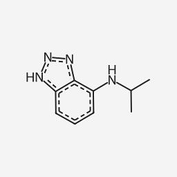 CC(C)Nc1cccc2[nH]nnc12